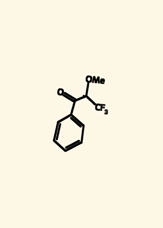 CO[C](C(=O)c1ccccc1)C(F)(F)F